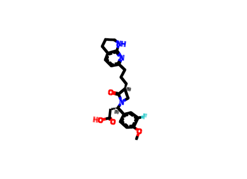 COc1ccc([C@H](CC(=O)O)N2C[C@H](CCCc3ccc4c(n3)NCCC4)C2=O)cc1F